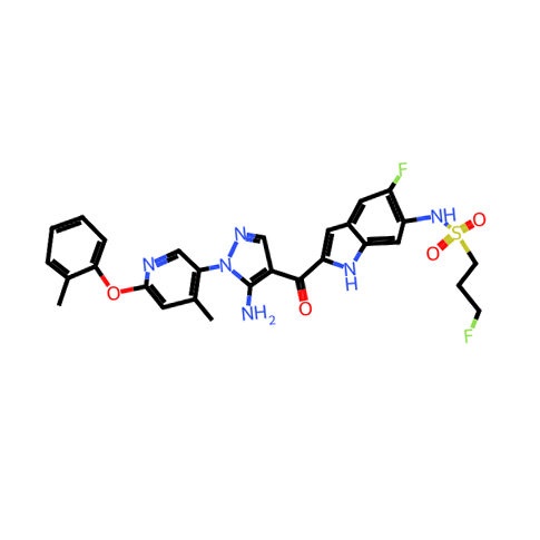 Cc1ccccc1Oc1cc(C)c(-n2ncc(C(=O)c3cc4cc(F)c(NS(=O)(=O)CCCF)cc4[nH]3)c2N)cn1